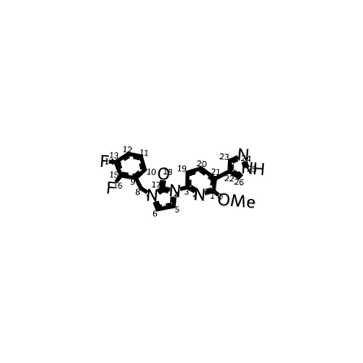 COc1nc(-n2ccn(Cc3cccc(F)c3F)c2=O)ccc1-c1cn[nH]c1